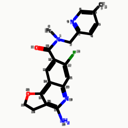 CC(C)N(Cc1ccc(C(F)(F)F)cn1)C(=O)c1cc2c3c(c(N)nc2cc1F)CCO3